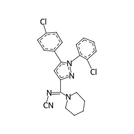 N#CN=C(c1cc(-c2ccc(Cl)cc2)n(-c2ccccc2Cl)n1)N1CCCCC1